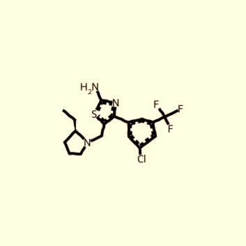 CC[C@@H]1CCCN1Cc1sc(N)nc1-c1cc(Cl)cc(C(F)(F)F)c1